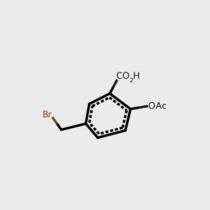 CC(=O)Oc1ccc(CBr)cc1C(=O)O